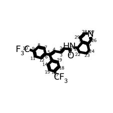 O=C(/C=C/C=C(c1ccc(C(F)(F)F)cc1)c1ccc(C(F)(F)F)cc1)NC1CCCc2cnccc21